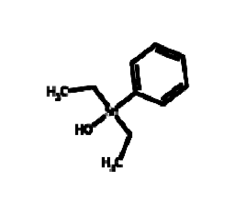 C[CH2][Sn]([OH])([CH2]C)[c]1ccccc1